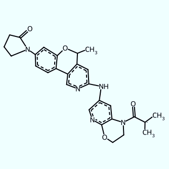 C[C](C)C(=O)N1CCOc2ncc(Nc3cc4c(cn3)-c3ccc(N5CCCC5=O)cc3OC4C)cc21